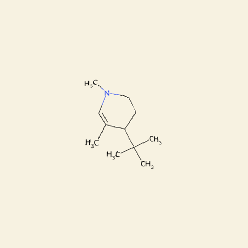 CC1=CN(C)CCC1C(C)(C)C